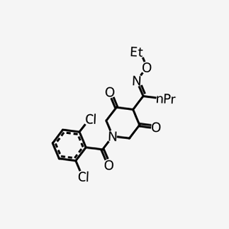 CCCC(=NOCC)C1C(=O)CN(C(=O)c2c(Cl)cccc2Cl)CC1=O